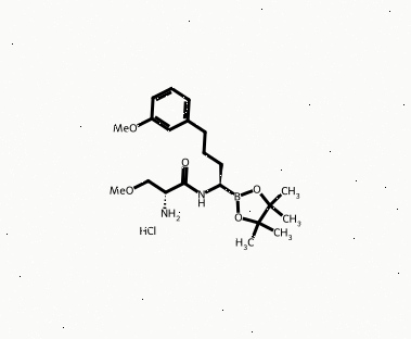 COC[C@@H](N)C(=O)N[C@@H](CCCc1cccc(OC)c1)B1OC(C)(C)C(C)(C)O1.Cl